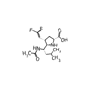 CC(=O)N[C@@H](CC(C)C)[C@@H]1N[C@@H](C(=O)O)C[C@H]1C=C(F)F